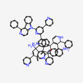 C=C/C(=C\C(C1=C(c2ccccc2N)C(c2ccccc2)NC=C1)c1cc(-c2cc(-c3cccnc3)cc(-n3c4ccccc4c4c(-c5ccccc5)nccc43)n2)cc(C(N)(/C=C(\C=C)c2cccnc2)c2ccnc(-c3ccccc3)c2-c2ccccc2N)c1)c1cccnc1